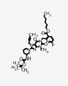 CC#CCn1c(N2CCCC(NC(=O)OC(C)(C)C)C2)nc2c1c(=O)n(Cc1nc(F)ccc1C(=O)OCCCCCC)c(=O)n2C